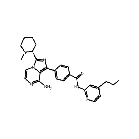 CCCc1ccnc(NC(=O)c2ccc(-c3nc([C@@H]4CCCCN4C)n4ccnc(N)c34)cc2)c1